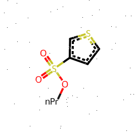 CCCOS(=O)(=O)c1ccsc1